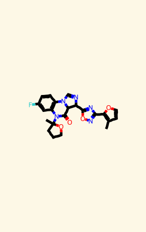 Cc1ccoc1-c1noc(C2N=CN3c4ccc(F)cc4N(C4(C)CCCO4)C(=O)C23)n1